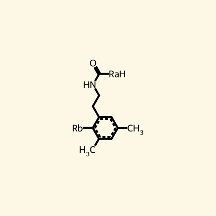 Cc1cc(C)[c]([Rb])c(CCN[C](=O)[RaH])c1